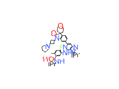 Cc1cc(F)c(Nc2nc(-c3ccc4c(c3)N([C@H]3C[C@@H](N5CCCCC5)C3)C(=O)C43CCOCC3)cc3ncn(C(C)C)c23)cc1C(O)NC(C)C